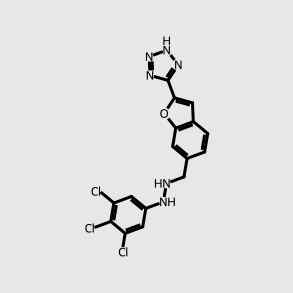 Clc1cc(NNCc2ccc3cc(-c4nn[nH]n4)oc3c2)cc(Cl)c1Cl